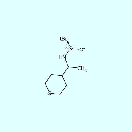 CC(N[S@+]([O-])C(C)(C)C)C1CCSCC1